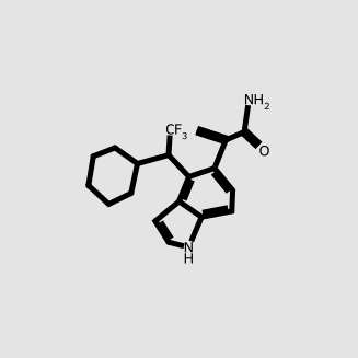 C=C(C(N)=O)c1ccc2[nH]ccc2c1C(C1CCCCC1)C(F)(F)F